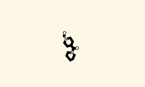 O=CN1CCC(C(=O)N2CCCCC2)CC1